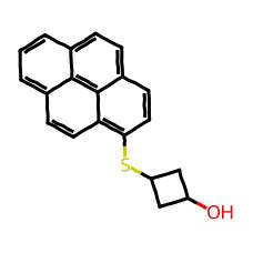 OC1CC(Sc2ccc3ccc4cccc5ccc2c3c45)C1